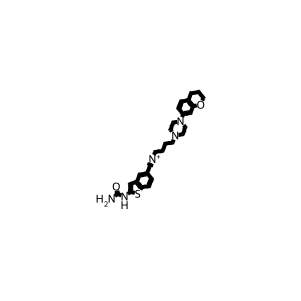 NC(=O)Nc1cc2cc(C#[N+]CCCCN3CCN(c4ccc5c(c4)OCCC5)CC3)ccc2s1